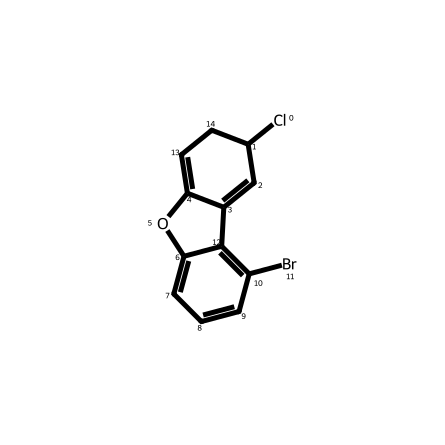 ClC1C=c2c(oc3cccc(Br)c23)=CC1